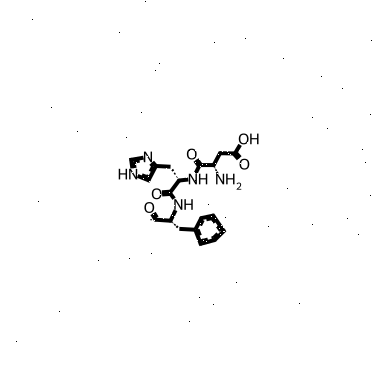 N[C@@H](CC(=O)O)C(=O)N[C@@H](Cc1c[nH]cn1)C(=O)N[C@@H]([C]=O)Cc1ccccc1